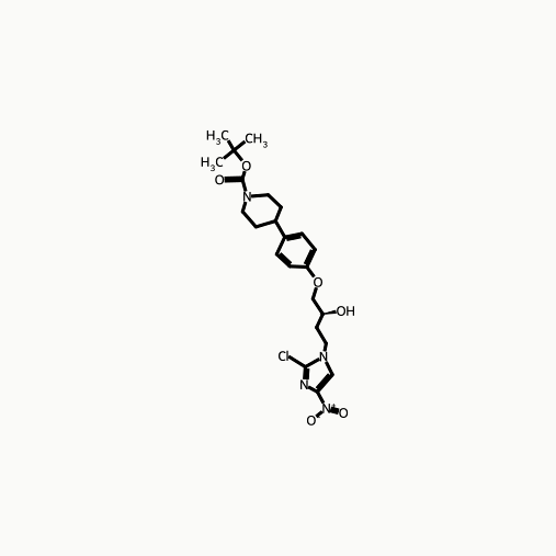 CC(C)(C)OC(=O)N1CCC(c2ccc(OC[C@@H](O)CCn3cc([N+](=O)[O-])nc3Cl)cc2)CC1